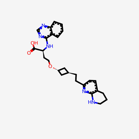 O=C(O)[C@H](CCO[C@H]1C[C@H](CCc2ccc3c(n2)NCCC3)C1)Nc1ncnc2ccccc12